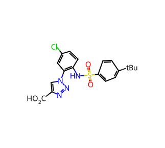 CC(C)(C)c1ccc(S(=O)(=O)Nc2ccc(Cl)cc2-n2cc(C(=O)O)nn2)cc1